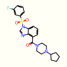 O=C(c1cccc2c1ncn2S(=O)(=O)c1cccc(F)c1)N1CCN(C2CCCC2)CC1